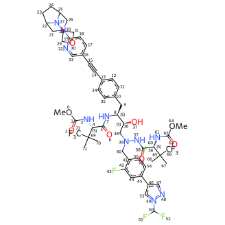 COC(=O)N[C@H](C(=O)N[C@@H](Cc1ccc(C#Cc2ccc(N3CC4CCC(C3)N4C3COC3)nc2)cc1)[C@@H](O)CN(Cc1c(F)cc(-c2cnn(C(F)F)c2)cc1F)NC(=O)[C@@H](NC(=O)OC)C(C)(C)C(F)(F)F)C(C)(C)C(F)(F)F